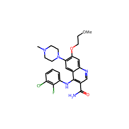 COCCOc1cc2ncc(C(N)=O)c(Nc3cccc(Cl)c3F)c2cc1N1CCN(C)CC1